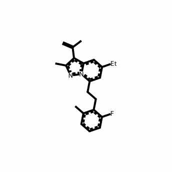 C=C(C)c1c(C)nn2c(CCc3c(C)cccc3F)cc(CC)cc12